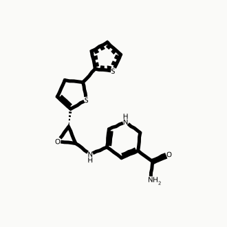 NC(=O)C1=CC(NC2O[C@@H]2C2=CCC(c3cccs3)S2)=CNC1